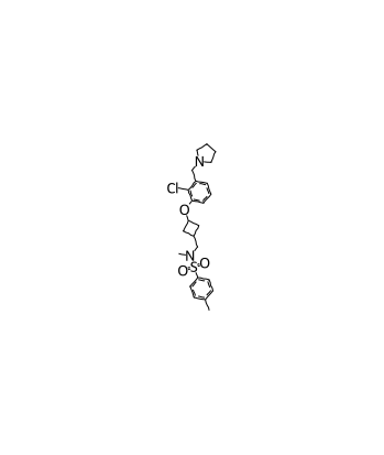 Cc1ccc(S(=O)(=O)N(C)CC2CC(Oc3cccc(CN4CCCC4)c3Cl)C2)cc1